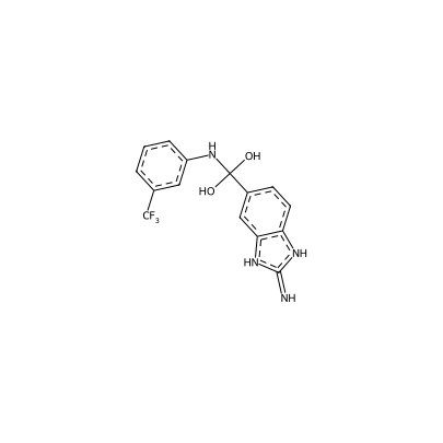 N=c1[nH]c2ccc(C(O)(O)Nc3cccc(C(F)(F)F)c3)cc2[nH]1